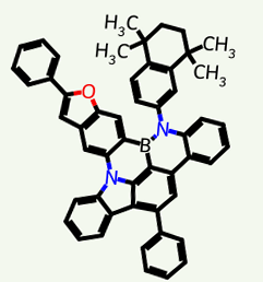 CC1(C)CCC(C)(C)c2cc(N3B4c5cc6oc(-c7ccccc7)cc6cc5-n5c6ccccc6c6c(-c7ccccc7)cc(c4c65)-c4ccccc43)ccc21